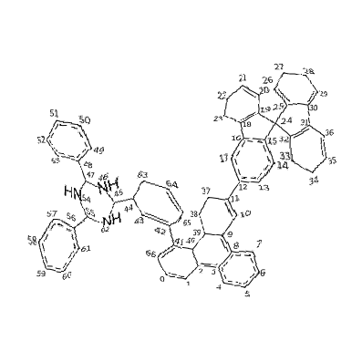 C1=CC2=c3ccccc3=C3C=C(c4ccc5c(c4)C4=C(C=CCC4)C54C5=CCCC=C5C5=C4CCC=C5)CCC3C2C(C2=CC(C3NC(c4ccccc4)NC(c4ccccc4)N3)CC=C2)=C1